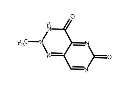 Cn1nc2cnc(=O)nc-2c(=O)[nH]1